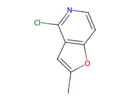 Clc1nccc2oc(I)cc12